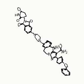 NC(=O)c1c(-c2ccc(Oc3ccccc3)cc2)nn2c1Nc1ccc(N3CCN(c4ccc5c(c4)C(=O)N(C4CCC(=O)NC4=O)C5=O)CC3)cc1CC2